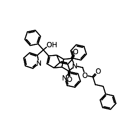 O=C(CCc1ccccc1)OCN1C(=O)C2C3C=C(C(O)(c4ccccc4)c4ccccn4)C(C3=C(c3ccccc3)c3ccccn3)C2C1=O